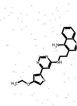 CCOc1csc(-c2cc(NCCc3ccc4ccccc4c3N)ncn2)c1